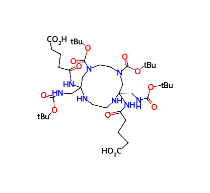 CC(C)(C)OC(=O)NCC1(NC(=O)CCCC(=O)O)CN(C(=O)OC(C)(C)C)CCN(C(=O)OC(C)(C)C)CC(CNC(=O)OC(C)(C)C)(NC(=O)CCCC(=O)O)NCCN1